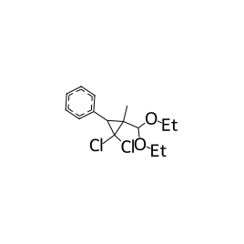 CCOC(OCC)C1(C)C(c2ccccc2)C1(Cl)Cl